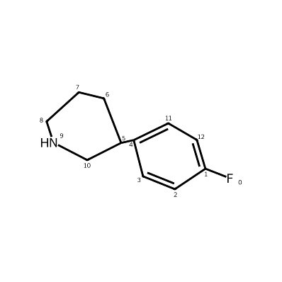 Fc1ccc(C2CCCNC2)cc1